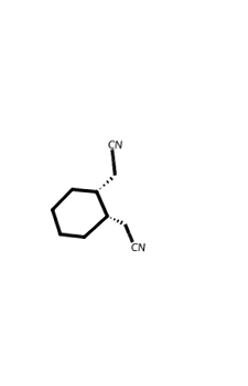 N#CC[C@@H]1CCCC[C@@H]1CC#N